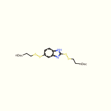 CCCCCCCCCCCCSSc1ccc2[nH]c(SSCCCCCCCCCCCC)nc2c1